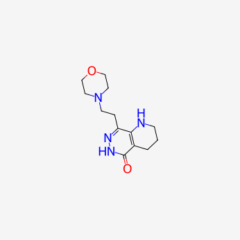 O=c1[nH]nc(CCN2CCOCC2)c2c1CCCN2